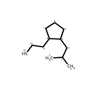 CC(C)CC1CCCC1CCS